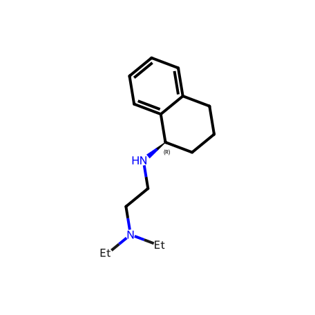 CCN(CC)CCN[C@@H]1CCCc2ccccc21